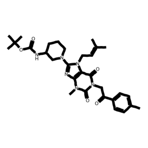 CC(C)=CCn1c(N2CCCC(NC(=O)OC(C)(C)C)C2)nc2c1c(=O)n(CC(=O)c1ccc(C)cc1)c(=O)n2C